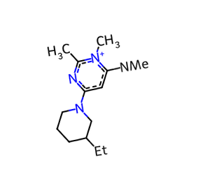 CCC1CCCN(c2cc(NC)[n+](C)c(C)n2)C1